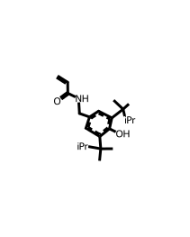 C=CC(=O)NCc1cc(C(C)(C)C(C)C)c(O)c(C(C)(C)C(C)C)c1